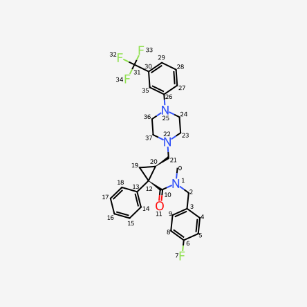 CN(Cc1ccc(F)cc1)C(=O)[C@@]1(c2ccccc2)C[C@H]1CN1CCN(c2cccc(C(F)(F)F)c2)CC1